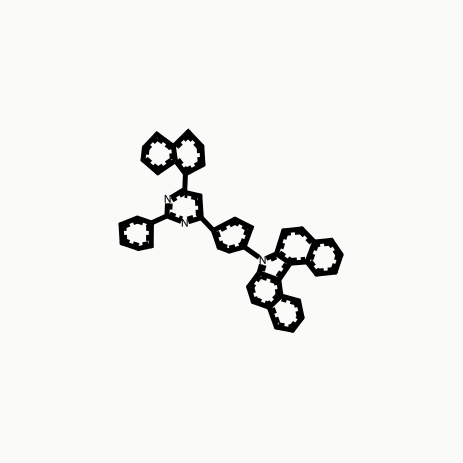 c1ccc(-c2nc(-c3ccc(-n4c5ccc6ccccc6c5c5c6ccccc6ccc54)cc3)cc(-c3cccc4ccccc34)n2)cc1